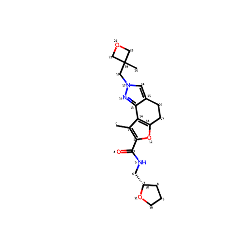 Cc1c(C(=O)NC[C@@H]2CCCO2)oc2c1-c1nn(CC3(C)COC3)cc1CC2